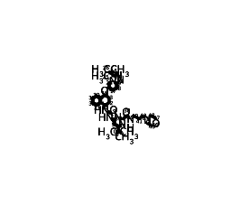 CC(C)(C)c1cc(NC(=O)N[C@H]2CC[C@@H](Oc3ccc4nnc(C(C)(C)C)n4c3)c3ccccc32)nc(C(=O)NCCCN2CCOCC2)n1